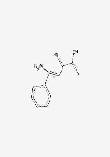 N=C(/C=C(\N)c1ccccc1)C(=O)O